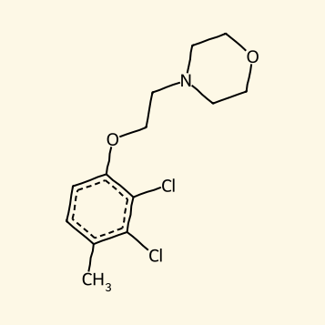 Cc1ccc(OCCN2CCOCC2)c(Cl)c1Cl